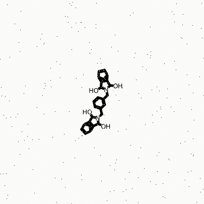 OC1C2C3C=CC(C3)C2C(O)N1Cc1cccc(CN2C(O)C3C4C=CC(C4)C3C2O)c1